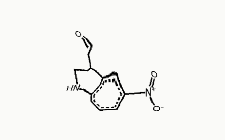 O=CC1CNc2ccc([N+](=O)[O-])cc21